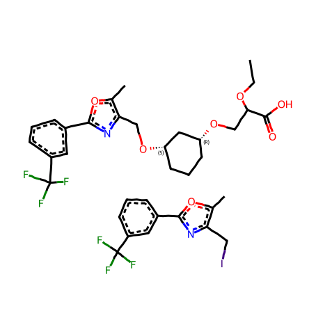 CCOC(CO[C@@H]1CCC[C@H](OCc2nc(-c3cccc(C(F)(F)F)c3)oc2C)C1)C(=O)O.Cc1oc(-c2cccc(C(F)(F)F)c2)nc1CI